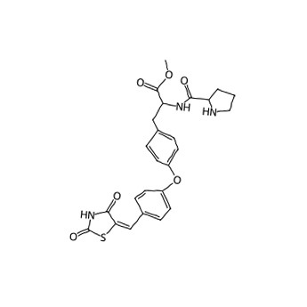 COC(=O)C(Cc1ccc(Oc2ccc(C=C3SC(=O)NC3=O)cc2)cc1)NC(=O)C1CCCN1